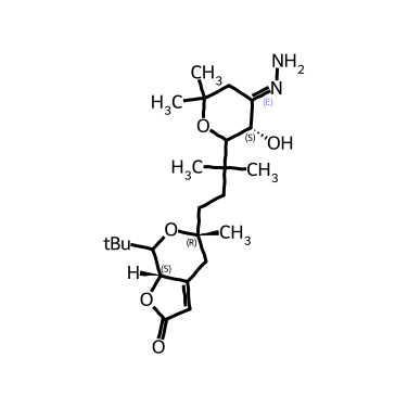 CC1(C)C/C(=N\N)[C@H](O)C(C(C)(C)CC[C@]2(C)CC3=CC(=O)O[C@@H]3C(C(C)(C)C)O2)O1